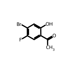 CC(=O)c1cc(F)c(Br)cc1O